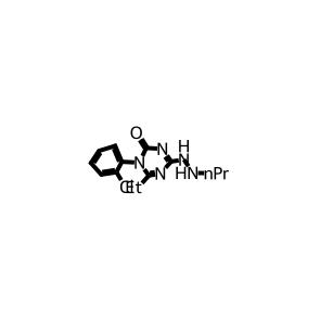 CCCNNc1nc(CC)n(-c2ccccc2Cl)c(=O)n1